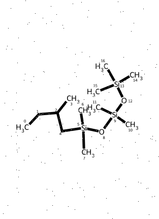 CCC(C)C[Si](C)(C)O[Si](C)(C)O[Si](C)(C)C